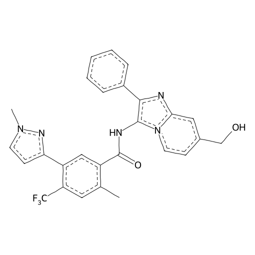 Cc1cc(C(F)(F)F)c(-c2ccn(C)n2)cc1C(=O)Nc1c(-c2ccccc2)nc2cc(CO)ccn12